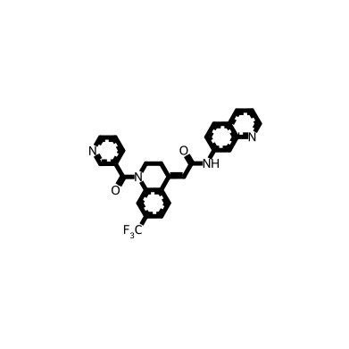 O=C(C=C1CCN(C(=O)c2cccnc2)c2cc(C(F)(F)F)ccc21)Nc1ccc2cccnc2c1